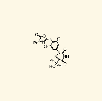 [2H]C([2H])(O)c1nn(-c2cc(Cl)c(Cc3nn(C(C)C)c(=O)o3)c(Cl)c2)c(=O)[nH]c1=O